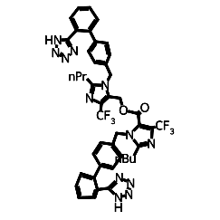 CCCCc1nc(C(F)(F)F)c(C(=O)OCc2c(C(F)(F)F)nc(CCC)n2Cc2ccc(-c3ccccc3-c3nnn[nH]3)cc2)n1Cc1ccc(-c2ccccc2-c2nnn[nH]2)cc1